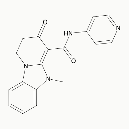 CN1C2=C(C(=O)Nc3ccncc3)C(=O)CCN2c2ccccc21